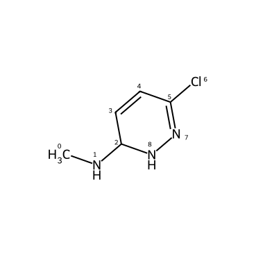 CNC1C=CC(Cl)=NN1